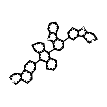 c1ccc2c(c1)ccc1cc(-c3c4ccccc4c(-c4ccc(-c5ccc6oc7ccccc7c6c5)c5c4oc4ccccc45)c4ccccc34)ccc12